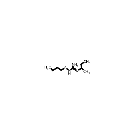 CCCCSN/C(N)=N/C(C)CC